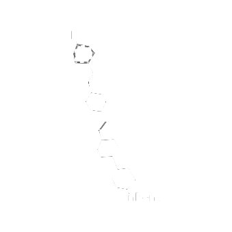 CCCCC[C@H]1CC[C@H]([C@H]2CC[C@H](C=C[C@H]3CC[C@H](CCc4ccc(F)cc4)CC3)CC2)CC1